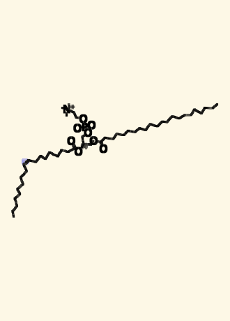 CCCCCCCCC/C=C\CCCCCCCC(=O)O[C@H](COC(=O)CCCCCCCCCCCCCCCCCCCCC)COP(=O)([O-])OCC[N+](C)(C)C